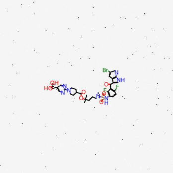 CN(CCCC(C)(C)OC(=O)C1CCN(c2ncc(B(O)O)cn2)CC1)S(=O)(=O)Nc1ccc(F)c(C(=O)c2c[nH]c3ncc(Br)cc23)c1F